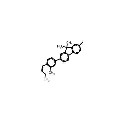 CC/C=C\c1ccc(-c2ccc3c(c2)C(C)(C)c2cc(I)ccc2-3)cc1C